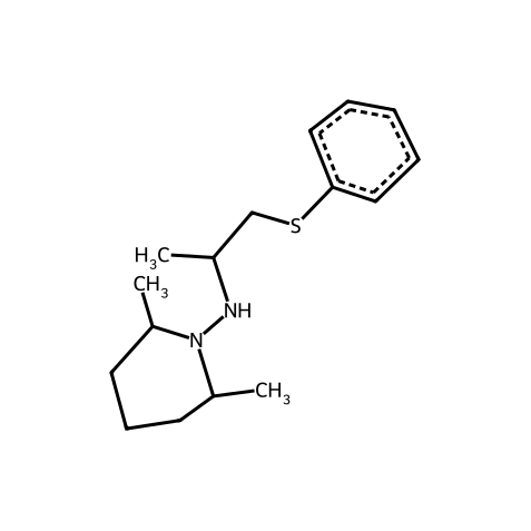 CC(CSc1ccccc1)NN1C(C)CCCC1C